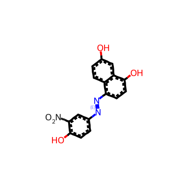 O=[N+]([O-])c1cc(/N=N/c2ccc(O)c3cc(O)ccc23)ccc1O